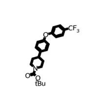 CC(C)(C)OC(=O)N1CCC(c2ccc(Oc3ccc(C(F)(F)F)cc3)cc2)CC1